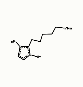 CCCCCCCCCCCCCCc1n(CCC)cc[n+]1C(C)C